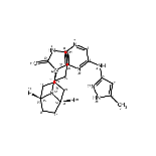 Cc1cc(Nc2cnc3[nH]c(=O)n([C@@H]4C[C@H]5CC[C@@H](C4)N5CCC#N)c3n2)n[nH]1